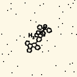 CC1(C)c2cc(-c3cc4c5ccccc5c5ccccc5c4c4ccccc34)ccc2-c2ccc(P(=O)(c3ccccc3)c3ccccc3)cc21